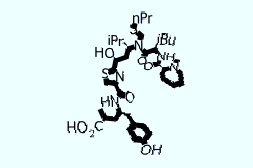 CCCSCN(C(=O)[C@@H](NC(=O)[C@H]1CCCCN1C)C(C)CC)[C@H](C[C@@H](O)c1nc(C(=O)N[C@@H](Cc2ccc(O)cc2)C[C@H](C)C(=O)O)cs1)C(C)C